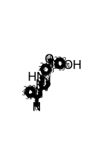 N#Cc1cn(-c2ccnc(N[C@H]3CC[C@H](C(=O)N4CCC(O)CC4)CC3)n2)c2ccccc12